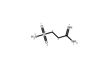 N=C(N)CCS(N)(=O)=O